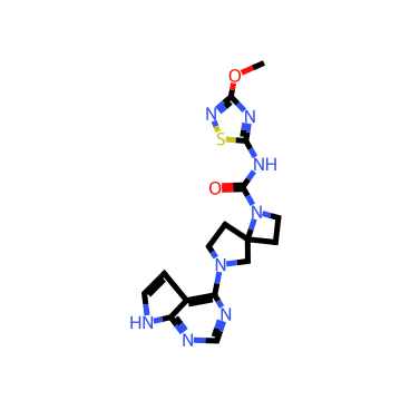 COc1nsc(NC(=O)N2CCC23CCN(c2ncnc4[nH]ccc24)C3)n1